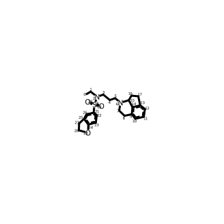 CCN(CCCN1CCc2cccc3c2C1CC3)S(=O)(=O)c1ccc2c(c1)CCO2